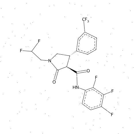 O=C(Nc1ccc(F)c(F)c1F)[C@H]1C(=O)N(CC(F)F)C[C@@H]1c1cccc(C(F)(F)F)c1